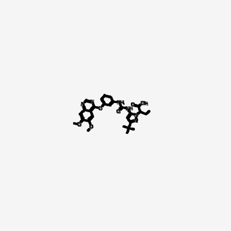 CCC(C(=O)O)n1nc(C(C)(C)C)cc1NC(=O)Nc1cccc(Oc2ncnc3cc(OC)c(OC)cc23)c1